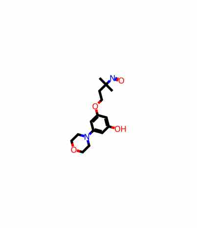 CC(C)(CCOc1cc(O)cc(N2CCOCC2)c1)N=O